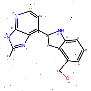 Cc1nc2c(C3Cc4c(CO)cccc4N3)ccnc2[nH]1